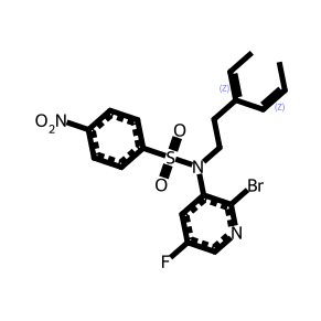 C/C=C\C(=C/C)CCN(c1cc(F)cnc1Br)S(=O)(=O)c1ccc([N+](=O)[O-])cc1